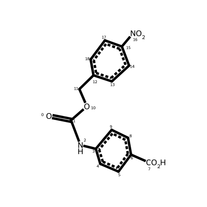 O=C(Nc1ccc(C(=O)O)cc1)OCc1ccc([N+](=O)[O-])cc1